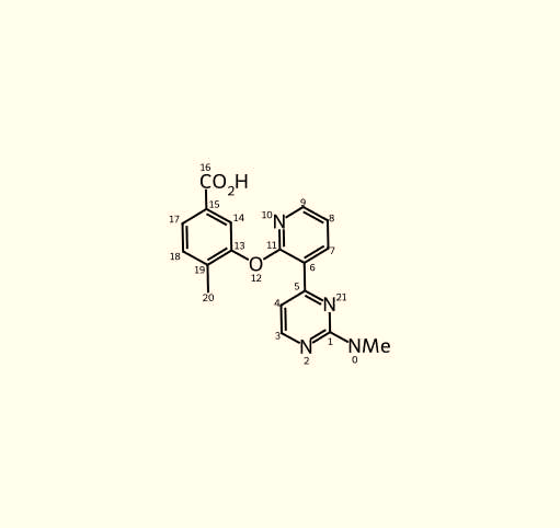 CNc1nccc(-c2cccnc2Oc2cc(C(=O)O)ccc2C)n1